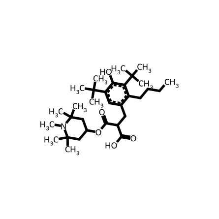 CCCCc1c(CC(C(=O)O)C(=O)OC2CC(C)(C)N(C)C(C)(C)C2)cc(C(C)(C)C)c(O)c1C(C)(C)C